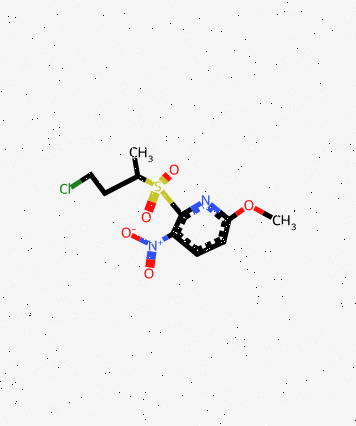 COc1ccc([N+](=O)[O-])c(S(=O)(=O)C(C)CCCl)n1